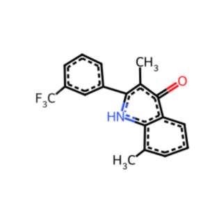 Cc1c(-c2cccc(C(F)(F)F)c2)[nH]c2c(C)cccc2c1=O